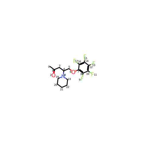 CC(=O)CC(COc1c(F)c(F)c(F)c(F)c1F)N1CCCCC1